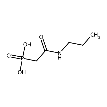 CCCNC(=O)CP(=O)(O)O